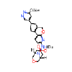 COc1cc(-c2ccc3c(c2)COc2nc(NC4C[C@H]5COC[C@@H](C4)N5C(=O)OC(C)(C)C)ccc2-3)cnn1